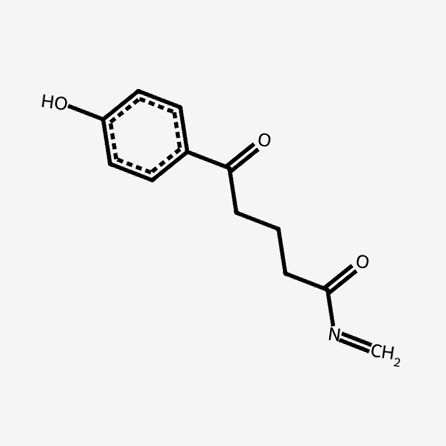 C=NC(=O)CCCC(=O)c1ccc(O)cc1